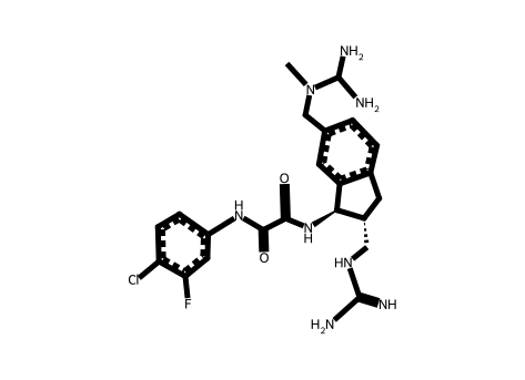 CN(Cc1ccc2c(c1)[C@H](NC(=O)C(=O)Nc1ccc(Cl)c(F)c1)[C@@H](CNC(=N)N)C2)C(N)N